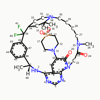 C[C@H]1Nc2ncnc3c2cc(N2CCS(=O)(=O)CC2)c(=O)n3CC(=O)N(C)CCCCN2CCC(CC2(C)C)C(F)(F)c2cccc1c2